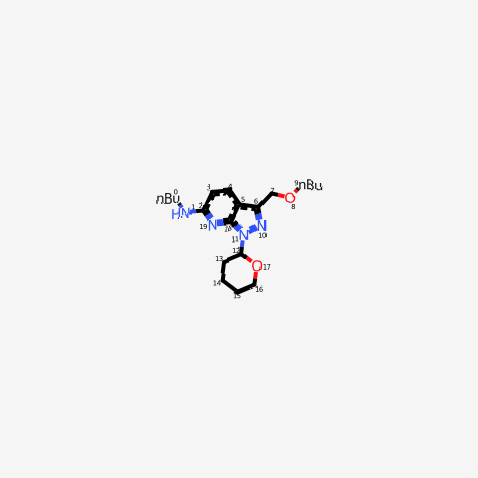 CCCCNc1ccc2c(COCCCC)nn(C3CCCCO3)c2n1